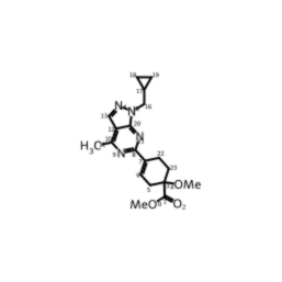 COC(=O)C1(OC)CC=C(c2nc(C)c3cnn(CC4CC4)c3n2)CC1